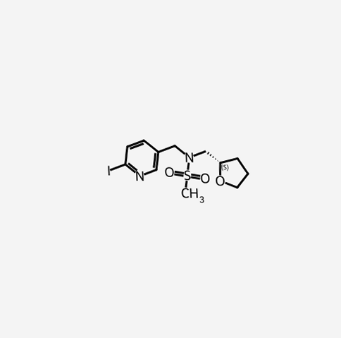 CS(=O)(=O)N(Cc1ccc(I)nc1)C[C@@H]1CCCO1